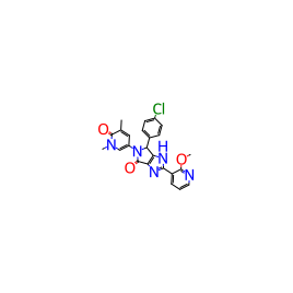 COc1ncccc1-c1nc2c([nH]1)C(c1ccc(Cl)cc1)N(c1cc(C)c(=O)n(C)c1)C2=O